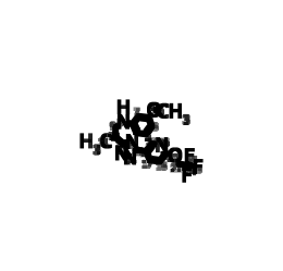 COc1ccc2c(c1)NCC(C)c1nnc(-c3ccc(OCC(F)(F)F)nc3)n1-2